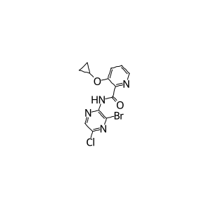 O=C(Nc1ncc(Cl)nc1Br)c1ncccc1OC1CC1